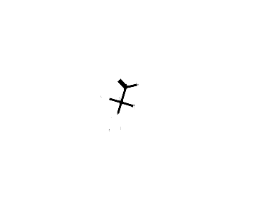 Cl.O=C(O)C(F)(F)F.[Cu]